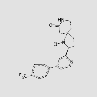 CCN1[C@H](c2cc(-c3ccc(C(F)(F)F)cc3)ccn2)CCC12CCNC(=O)C2